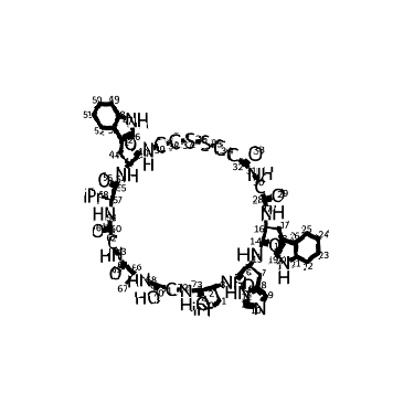 CC(C)C[C@@H]1NC(=O)[C@H](Cc2cnc[nH]2)NC(=O)[C@H](CC2=CNC3CCCCC23)NC(=O)CNC(=O)CCSSCCNC(=O)[C@H](CC2=CNC3CCCCC23)NC(=O)[C@H](C(C)C)NC(=O)CNC(=O)[C@H](C)NC(O)CNC1=O